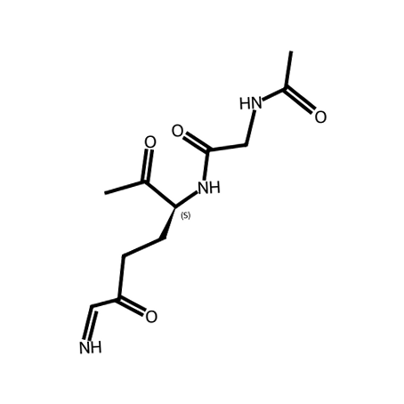 CC(=O)NCC(=O)N[C@@H](CCC(=O)C=N)C(C)=O